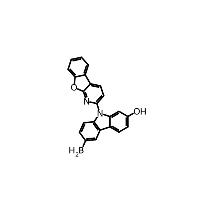 Bc1ccc2c(c1)c1ccc(O)cc1n2-c1ccc2c(n1)oc1ccccc12